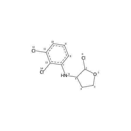 Cl[C]1OCCC1Nc1cccc(Cl)c1Cl